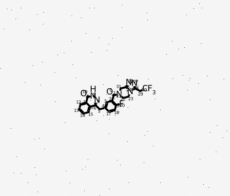 O=C(c1cc(Cc2n[nH]c(=O)c3ccccc23)ccc1F)N1CCn2c(nnc2CC(F)(F)F)C1